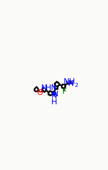 CN(C)CC(N)c1cc(F)cc(-c2cccc3[nH]c(-c4n[nH]c5ccc(-c6cncc(OC7CCCCC7)c6)cc45)cc23)c1